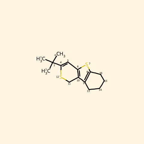 CC(C)(C)C1=Cc2sc3c(c2CS1)CCCC3